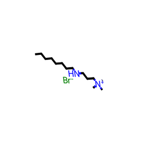 CCCCCCCCNCCC[N+](C)(C)C.[Br-]